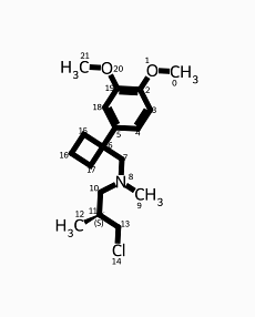 COc1ccc(C2(CN(C)C[C@H](C)CCl)CCC2)cc1OC